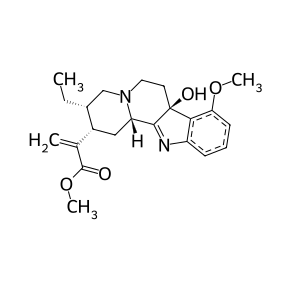 C=C(C(=O)OC)[C@H]1C[C@H]2C3=Nc4cccc(OC)c4[C@@]3(O)CCN2C[C@H]1CC